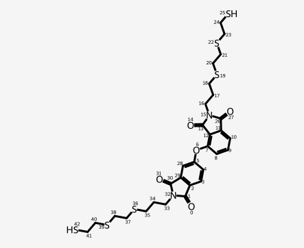 O=C1c2ccc(Oc3cccc4c3C(=O)N(CCCSCCSCCS)C4=O)cc2C(=O)N1CCCSCCSCCS